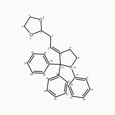 C(CC1OCCO1)=C1CCP(c2ccccc2)C1(c1ccccc1)c1ccccc1